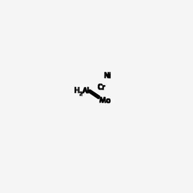 [AlH2][Mo].[Cr].[Ni]